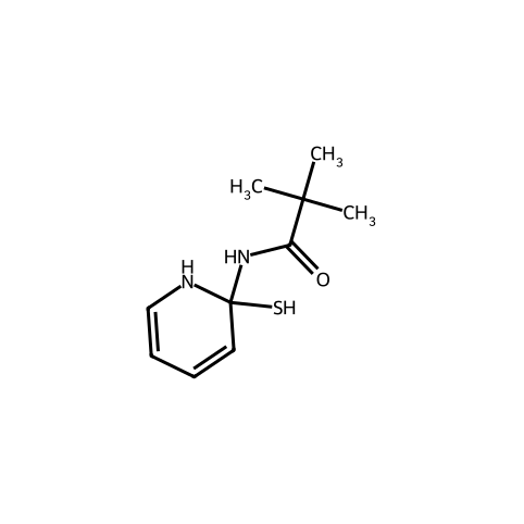 CC(C)(C)C(=O)NC1(S)C=CC=CN1